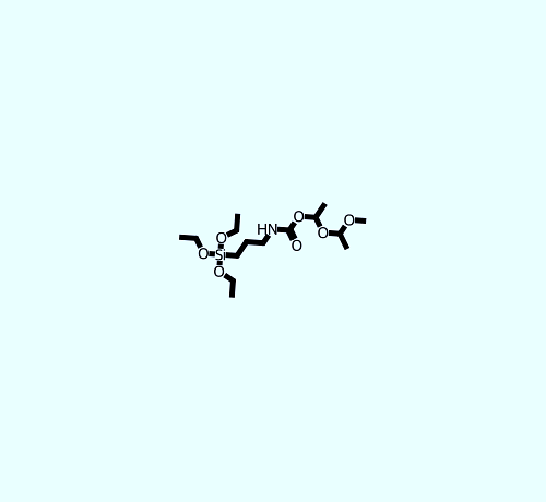 CCO[Si](CCCNC(=O)OC(C)OC(C)OC)(OCC)OCC